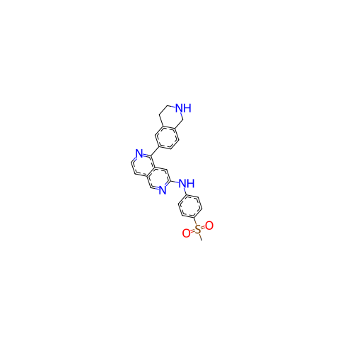 CS(=O)(=O)c1ccc(Nc2cc3c(-c4ccc5c(c4)CCNC5)nccc3cn2)cc1